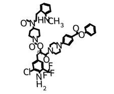 CNc1ccccc1CCN(C=O)C1CCN(C(=O)O[C@H](Cc2cc(Cl)c(N)c(C(F)(F)F)c2)C(=O)N2CCN(c3ccc(C(=O)Oc4ccccc4)cc3)CC2)CC1